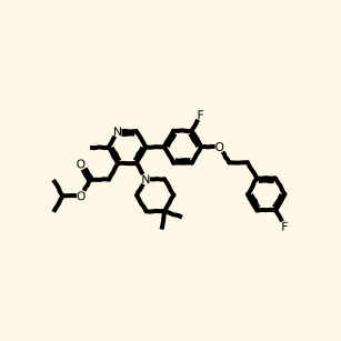 Cc1ncc(-c2ccc(OCCc3ccc(F)cc3)c(F)c2)c(N2CCC(C)(C)CC2)c1CC(=O)OC(C)C